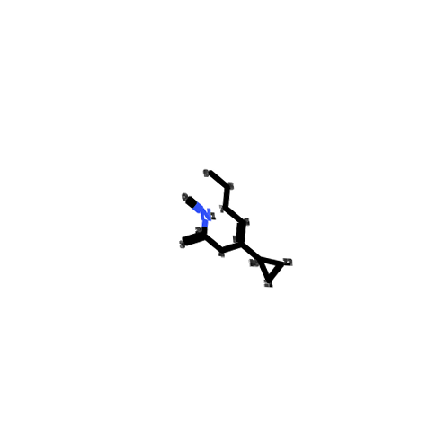 C=NC(=C)C/C(=C\CCC)C1CC1